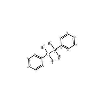 [Br][Ge]([Br])([c]1ccccc1)[Ge]([Br])([Br])[c]1ccccc1